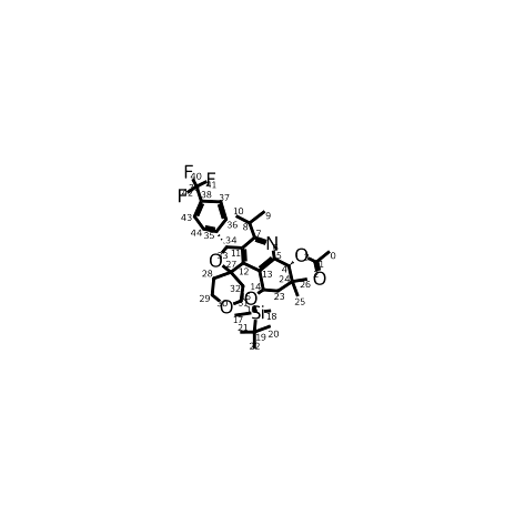 CC(=O)O[C@H]1c2nc(C(C)C)c3c(c2C(O[Si](C)(C)C(C)(C)C)CC1(C)C)C1(CCOCC1)O[C@@H]3c1ccc(C(F)(F)F)cc1